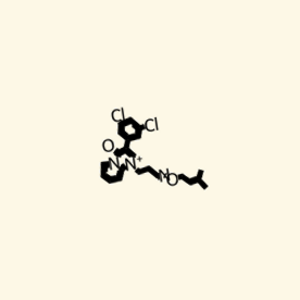 CC(C)=CCON=CCC[n+]1cc(-c2cc(Cl)cc(Cl)c2)c(=O)n2ccccc21